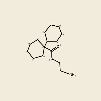 NCCOC(=O)C1(C2CCCCC2)CCCCC1